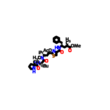 CC[C@H](C)[C@H](NC(=O)[C@@]1(C)CCCN1)C(=O)N(C)[C@H](C[C@@H](OC(C)=O)c1nc(C(=O)N[C@@H](Cc2ccccc2)C[C@H](C)C(=O)OC)cs1)C(C)C